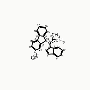 C[C](C)=[Zr+2]([CH]1C=Cc2ccccc21)[CH]1c2ccccc2-c2ccccc21.[Cl-].[Cl-]